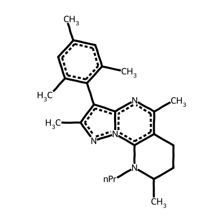 CCCN1c2c(c(C)nc3c(-c4c(C)cc(C)cc4C)c(C)nn23)CCC1C